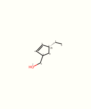 CC[C@H]1C=CC(CO)C1